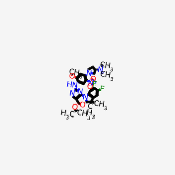 COc1cc(N2CC[C@@H](N(C)C)C2)c([N+](=O)[O-])cc1Nc1ncc(C(=O)OC(C)C)c(N2CC(C)(C)c3cc(F)c(F)cc32)n1